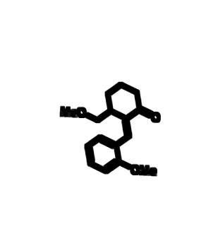 COCC1CCCC(=O)C1=Cc1ccccc1OC